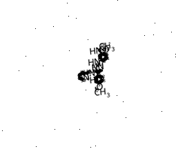 CCOc1ccc(-c2cnc(Nc3cccc(S(C)(=N)=O)c3)nc2NCc2ccccn2)cc1